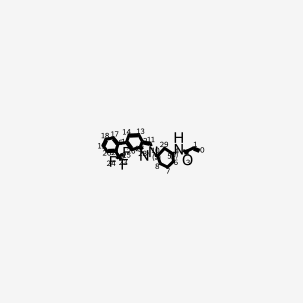 C=CC(=O)N[C@H]1CCC[C@H](n2cc3ccc(-c4ccccc4C(F)(F)F)cc3n2)C1